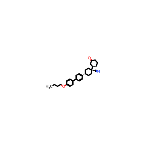 CCCCOc1ccc(-c2ccc([C@H]3CC[C@@](C#N)([C@@H]4CCCC(=O)C4)CC3)cc2)cc1